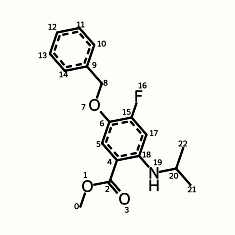 COC(=O)c1cc(OCc2ccccc2)c(F)cc1NC(C)C